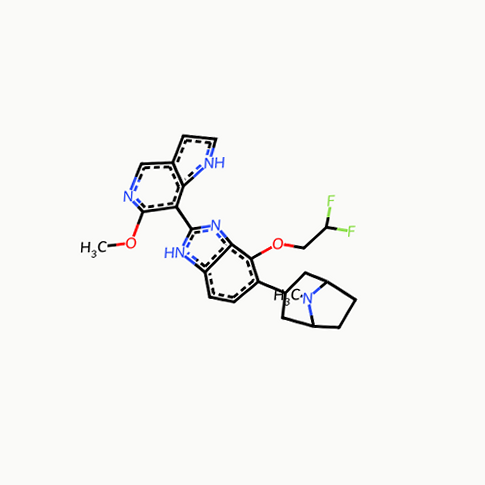 COc1ncc2cc[nH]c2c1-c1nc2c(OCC(F)F)c(C3CC4CCC(C3)N4C)ccc2[nH]1